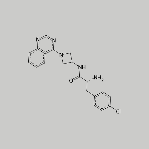 N[C@H](Cc1ccc(Cl)cc1)C(=O)NC1CN(c2ncnc3ccccc23)C1